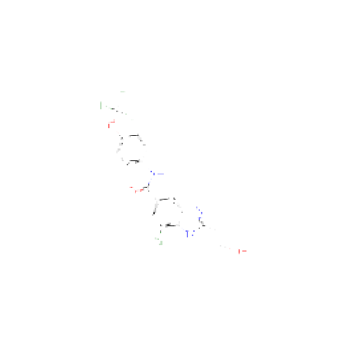 Cn1c(CCO)nc2cc(C(=O)Nc3ccc(OC(F)(F)Cl)cc3)cc(Br)c21